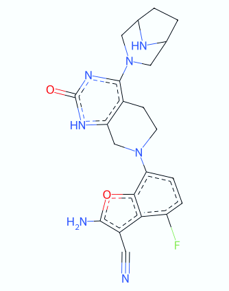 N#Cc1c(N)oc2c(N3CCc4c(N5CC6CCC(C5)N6)nc(=O)[nH]c4C3)ccc(F)c12